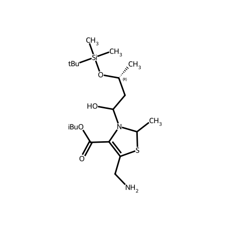 CC(C)COC(=O)C1=C(CN)SC(C)N1C(O)C[C@@H](C)O[Si](C)(C)C(C)(C)C